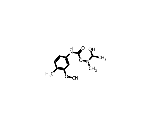 Cc1ccc(NC(=O)ON(C)C(C)O)cc1OC#N